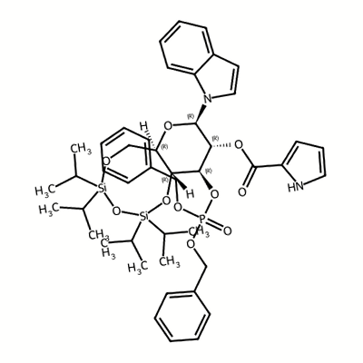 CC(C)[Si]1(C(C)C)OC[C@H]2O[C@@H](n3ccc4ccccc43)[C@H](OC(=O)c3ccc[nH]3)[C@@H](OP(=O)(OCc3ccccc3)OCc3ccccc3)[C@@H]2O[Si](C(C)C)(C(C)C)O1